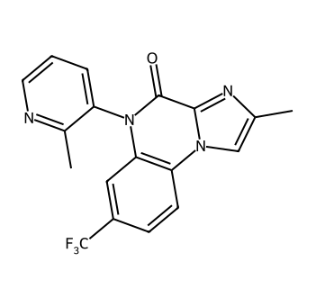 Cc1cn2c(n1)c(=O)n(-c1cccnc1C)c1cc(C(F)(F)F)ccc12